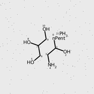 CCCCCC(O)CN.OCC(O)CO.P